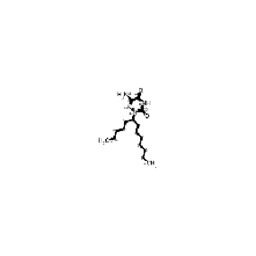 CCCCCCCC(CCCCC)n1nc(N)c(=O)[nH]c1=O